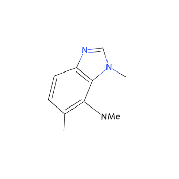 CNc1c(C)ccc2ncn(C)c12